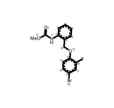 COC(=O)Nc1ccccc1COc1ccc(Br)cc1C